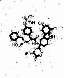 CC[C@H](C)C(NC(=O)[C@@]1(NC(=O)[C@@H](CN(Cc2ccccc2)C(=O)O)c2ccc(OP(=O)(O)O)cc2)CCc2[nH]c3c(Cl)cc(Cl)cc3c2C1)C(N)=O